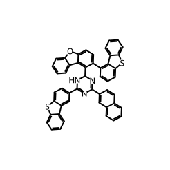 c1ccc2cc(C3=NC(c4c(-c5cccc6sc7ccccc7c56)ccc5oc6ccccc6c45)NC(c4ccc5sc6ccccc6c5c4)=N3)ccc2c1